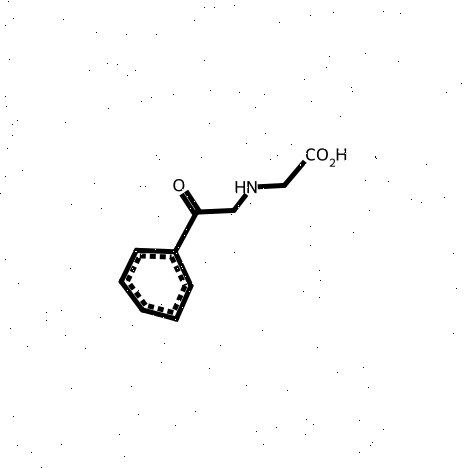 O=C(O)CNCC(=O)c1ccccc1